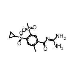 Cc1cc(S(=O)(=O)C2CC2)c(S(C)(=O)=O)cc1C(=O)N=C(N)N